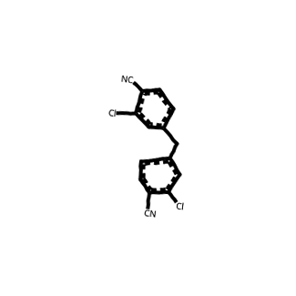 N#Cc1ccc(Cc2ccc(C#N)c(Cl)c2)cc1Cl